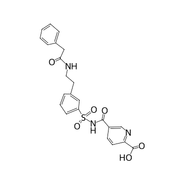 O=C(Cc1ccccc1)NCCc1cccc(S(=O)(=O)NC(=O)c2ccc(C(=O)O)nc2)c1